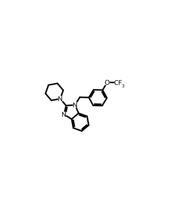 FC(F)(F)Oc1cccc(Cn2c(N3CCCCC3)nc3ccccc32)c1